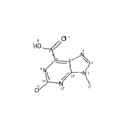 Cn1cnc2c(C(=O)O)nc(Cl)nc21